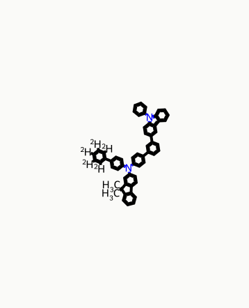 [2H]c1c([2H])c([2H])c(-c2ccc(N(c3ccc(-c4cccc(-c5ccc6c(c5)c5ccccc5n6-c5ccccc5)c4)cc3)c3ccc4c(c3)C(C)(C)c3ccccc3-4)cc2)c([2H])c1[2H]